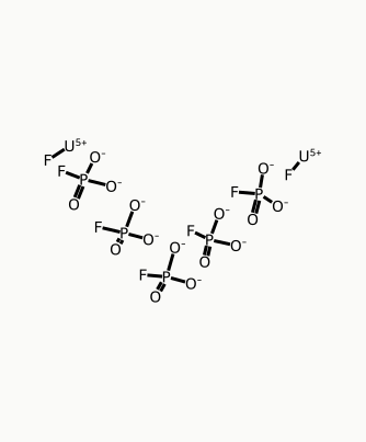 O=P([O-])([O-])F.O=P([O-])([O-])F.O=P([O-])([O-])F.O=P([O-])([O-])F.O=P([O-])([O-])F.[F][U+5].[F][U+5]